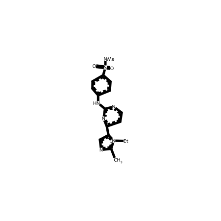 CCn1c(-c2ccnc(Nc3ccc(S(=O)(=O)NC)cc3)n2)cnc1C